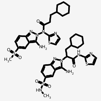 CNS(=O)(=O)c1ccc2nn(C(CC3CCCCC3)C(=O)Nc3nccs3)c(N)c2c1.CS(=O)(=O)c1ccc2nn(N(C(=O)CCC3CCCCC3)c3nccs3)c(N)c2c1